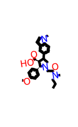 CCCN(C)C(=O)CN1CC(c2ccc3c(ccn3C)c2)[C@H](C(=O)O)[C@H]1c1ccc(OC)cc1